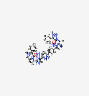 C[C@H](NC(=O)[C@@H](c1ccccc1)N(C)C)c1ncc(-c2ccc(-c3ccc(-c4cnc([C@@H]5CCCN5C(=O)[C@@H](c5ccccc5)N(C)C)[nH]4)nn3)cc2)[nH]1